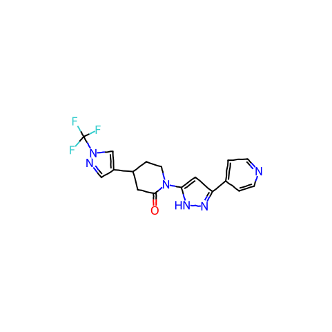 O=C1CC(c2cnn(C(F)(F)F)c2)CCN1c1cc(-c2ccncc2)n[nH]1